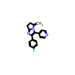 C=C1CCc2nc(-c3ccc(F)cc3)c(-c3ccncc3)n21